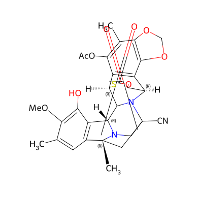 COc1c(C)cc2c(c1O)[C@@H]1C3[C@@H]4SCC(=O)C(=O)OC[C@@H](c5c6c(c(C)c(OC(C)=O)c54)OCO6)N3C3(C#N)CN1[C@]2(C)C3